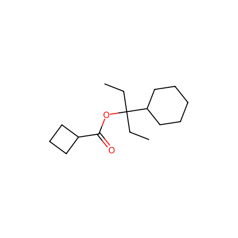 CCC(CC)(OC(=O)C1CCC1)C1CCCCC1